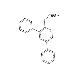 COCc1ccc(-c2ccccc2)cc1-c1ccccc1